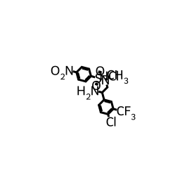 CN(CC(N)c1ccc(Cl)c(C(F)(F)F)c1)S(=O)(=O)c1ccc([N+](=O)[O-])cc1.Cl